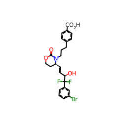 O=C(O)c1ccc(CCCN2C(=O)OCC[C@@H]2C=C[C@@H](O)C(F)(F)c2cccc(Br)c2)cc1